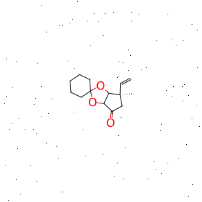 C=C[C@@]1(C)CC(=O)C2OC3(CCCCC3)OC21